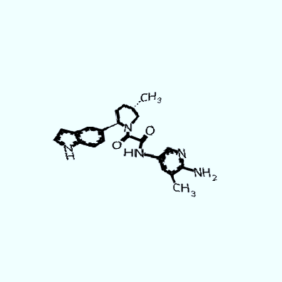 Cc1cc(NC(=O)C(=O)N2C[C@@H](C)CC[C@@H]2c2ccc3[nH]ccc3c2)cnc1N